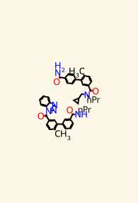 CCCN(CC1CC1)C(=O)c1ccc(C)c(-c2ccc(C(N)=O)cc2)c1.CCCNC(=O)c1cccc(-c2cc(C(=O)n3nnc4ccccc43)ccc2C)c1